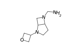 NCN1CC2C1CCN2C1COC1